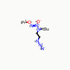 CC(C)ON=[N+]([O-])N(CCN=[N+]=[N-])C(C)(C)C